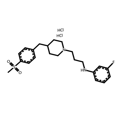 CS(=O)(=O)c1ccc(CC2CCN(CCCNc3cccc(F)c3)CC2)cc1.Cl.Cl